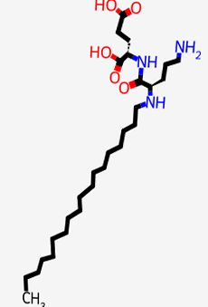 CCCCCCCCCCCCCCCCCCN[C@H](CCCN)C(=O)N[C@@H](CCC(=O)O)C(=O)O